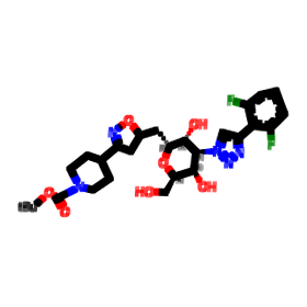 CC(C)(C)OC(=O)N1CCC(C2=NOC(C[C@H]3O[C@H](CO)[C@H](O)[C@H](n4cc(-c5c(F)cccc5F)nn4)[C@H]3O)C2)CC1